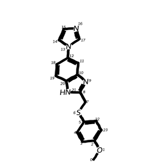 COc1ccc(SCc2nc3cc(-n4ccnc4)ccc3[nH]2)cc1